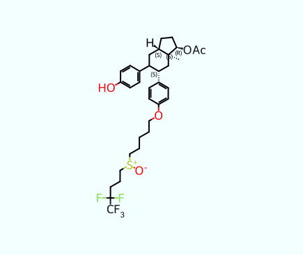 CC(=O)O[C@@H]1CC[C@H]2CC(c3ccc(O)cc3)[C@@H](c3ccc(OCCCCC[S+]([O-])CCCC(F)(F)C(F)(F)F)cc3)C[C@@]21C